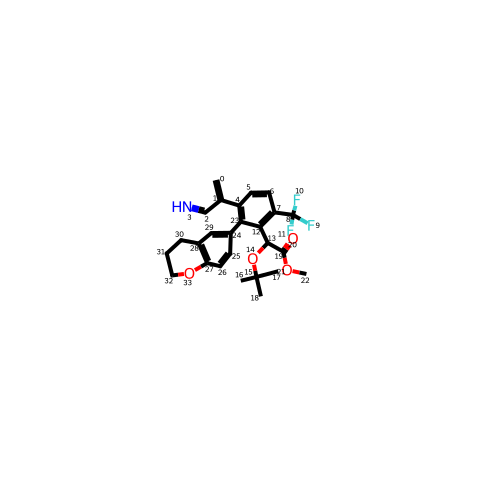 C=C(C=N)c1ccc(C(F)(F)F)c(C(OC(C)(C)C)C(=O)OC)c1-c1ccc2c(c1)CCCO2